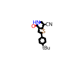 CC(C)(C)c1ccc(-c2cc3c(=O)[nH]cc(C#N)c3s2)cc1